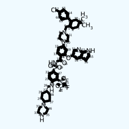 CC1(C)CCC(CN2CCN(c3ccc(C(=O)NS(=O)(=O)c4ccc(NC[C@H]5CC[C@H](N6CCNCC6)CC5)c(S(=O)(=O)C(F)(F)F)c4)c(Oc4cnc5[nH]ccc5c4)c3)CC2)=C(c2ccc(Cl)cc2)C1